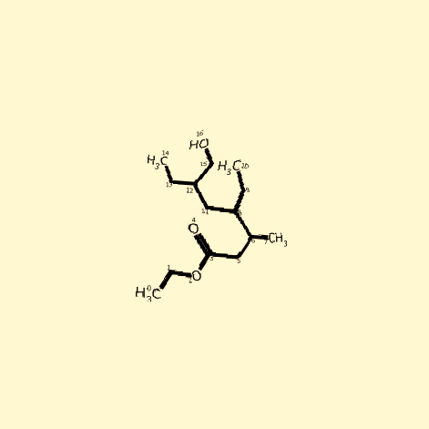 CCOC(=O)CC(C)C(CC)CC(CC)CO